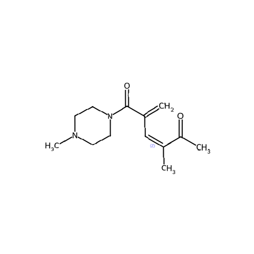 C=C(/C=C(/C)C(C)=O)C(=O)N1CCN(C)CC1